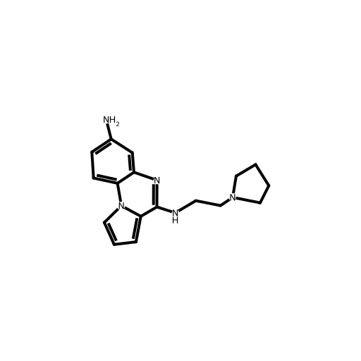 Nc1ccc2c(c1)nc(NCCN1CCCC1)c1cccn12